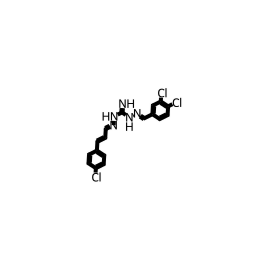 N=C(NN=CC=Cc1ccc(Cl)cc1)NN=Cc1ccc(Cl)c(Cl)c1